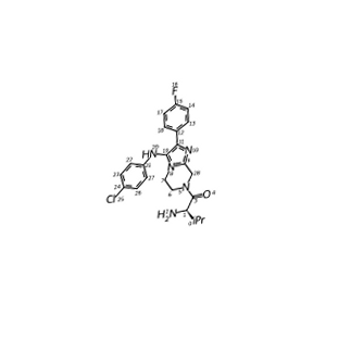 CC(C)[C@@H](N)C(=O)N1CCn2c(nc(-c3ccc(F)cc3)c2Nc2ccc(Cl)cc2)C1